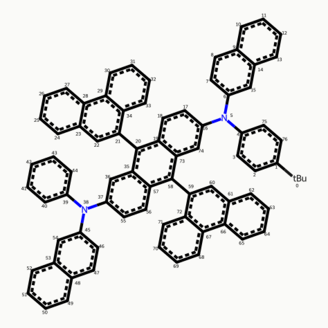 CC(C)(C)c1ccc(N(c2ccc3ccccc3c2)c2ccc3c(-c4cc5ccccc5c5ccccc45)c4cc(N(c5ccccc5)c5ccc6ccccc6c5)ccc4c(-c4cc5ccccc5c5ccccc45)c3c2)cc1